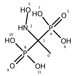 CC(NO)(P(=O)(O)O)P(=O)(O)O